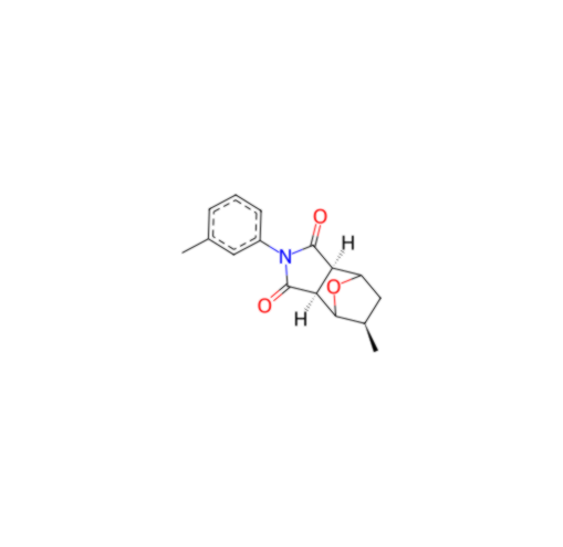 Cc1cccc(N2C(=O)[C@@H]3C4OC(C[C@H]4C)[C@@H]3C2=O)c1